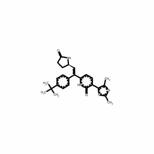 Cc1nc(C)c(-c2ccc(C(=C[C@H]3CCC(=O)N3)c3ccc(C(C)(C)C)cc3)[nH]c2=O)s1